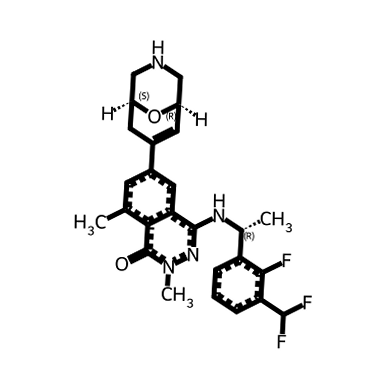 Cc1cc(C2=C[C@@H]3CNC[C@H](C2)O3)cc2c(N[C@H](C)c3cccc(C(F)F)c3F)nn(C)c(=O)c12